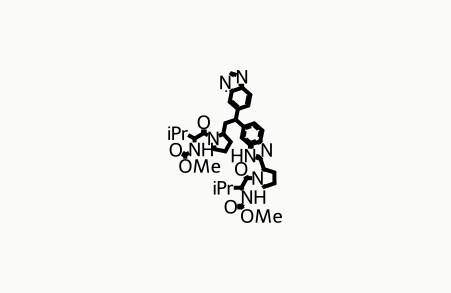 COC(=O)NC(C(=O)N1CCCC1CC(C1=C[C]2N=CN=C2C=C1)c1ccc2nc(C3CCCN3C(=O)C(NC(=O)OC)C(C)C)[nH]c2c1)C(C)C